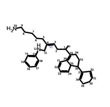 CC(C/C=C(/CCCCCN)CNc1ccccc1)C1=C2C=CC=CC2C(C2=CCCC=C2)CC1